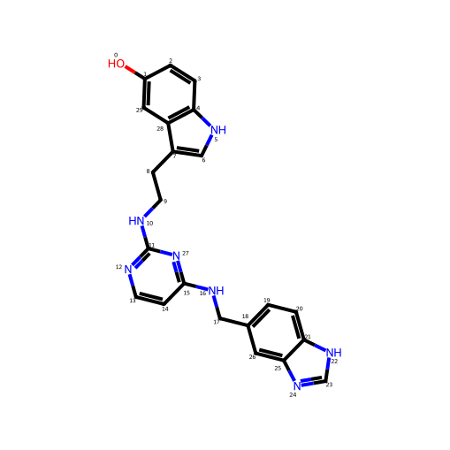 Oc1ccc2[nH]cc(CCNc3nccc(NCc4ccc5[nH]cnc5c4)n3)c2c1